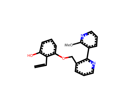 C=Cc1c(O)cccc1OCc1cccnc1-c1cccnc1OC